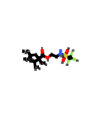 CC(C)CC(C)(C(=O)OCCNS(=O)(=O)C(F)(F)F)C(C)C